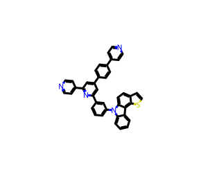 c1cc(-c2cc(-c3ccc(-c4ccncc4)cc3)cc(-c3ccncc3)n2)cc(-n2c3ccccc3c3c4sccc4ccc32)c1